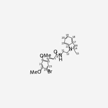 COc1cc(OC)c(/C=C/C(=O)NCCn2c(C)cc3ccccc32)cc1Br